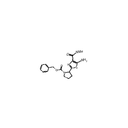 CNC(=O)c1nc(C2CCCN2C(=O)OCc2ccccc2)sc1N